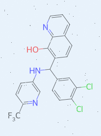 Oc1c(C(Nc2ccc(C(F)(F)F)nc2)c2ccc(Cl)c(Cl)c2)ccc2cccnc12